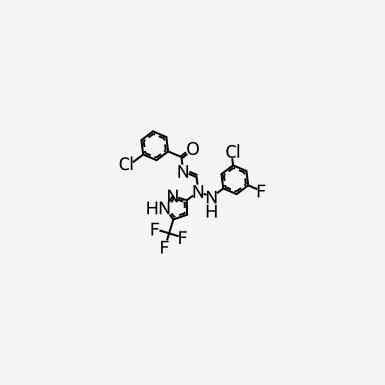 O=C(N=CN(Nc1cc(F)cc(Cl)c1)c1cc(C(F)(F)F)[nH]n1)c1cccc(Cl)c1